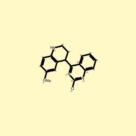 COc1ccc2c(c1)C(c1nc(Cl)nc3ccccc13)CCN2